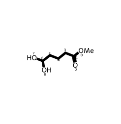 COC(=O)CCCC(O)O